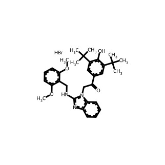 Br.COc1cccc(OC)c1CNc1nc2ccccc2n1CC(=O)c1cc(C(C)(C)C)c(O)c(C(C)(C)C)c1